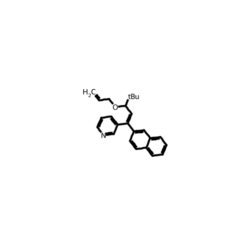 C=CCOC(C=C(c1cccnc1)c1ccc2ccccc2c1)C(C)(C)C